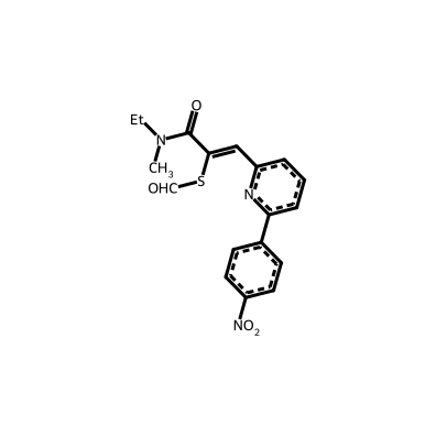 CCN(C)C(=O)/C(=C/c1cccc(-c2ccc([N+](=O)[O-])cc2)n1)SC=O